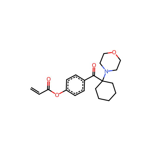 C=CC(=O)Oc1ccc(C(=O)C2(N3CCOCC3)CCCCC2)cc1